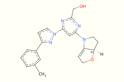 Cc1cccc(-c2ccn(-c3cc(N4CC[C@H]5OCC=C54)nc(CO)n3)n2)c1